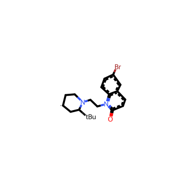 CC(C)(C)C1C[CH]CCN1CCn1c(=O)ccc2cc(Br)ccc21